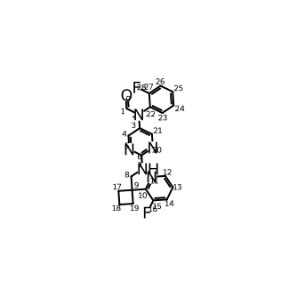 O=CN(c1cnc(NCC2(c3ncccc3F)CCC2)nc1)c1ccccc1F